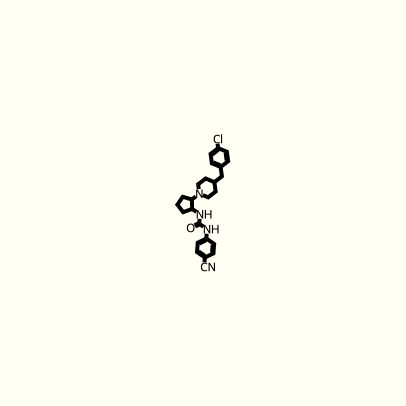 N#Cc1ccc(NC(=O)NC2CCCC2N2CCC(Cc3ccc(Cl)cc3)CC2)cc1